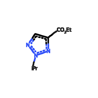 CCOC(=O)c1cnn(C(C)C)n1